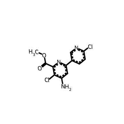 COC(=O)c1nc(-c2ccc(Cl)nc2)cc(N)c1Cl